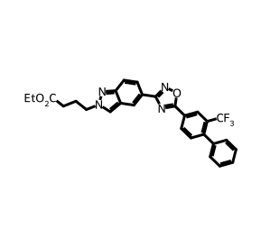 CCOC(=O)CCCn1cc2cc(-c3noc(-c4ccc(-c5ccccc5)c(C(F)(F)F)c4)n3)ccc2n1